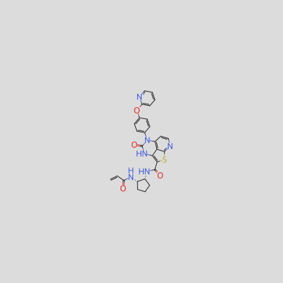 C=CC(=O)N[C@H]1CCC[C@H]1NC(=O)c1sc2nccc3c2c1NC(=O)N3c1ccc(Oc2ccccn2)cc1